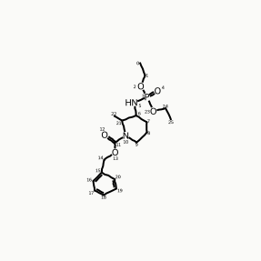 CCOP(=O)(NC1CCCN(C(=O)OCc2ccccc2)C1C)OCC